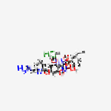 CCc1ccc(OC)c(S(=O)(=O)Nc2noc3cc(Oc4cccc(CN)n4)cc(OC)c23)c1.Cl